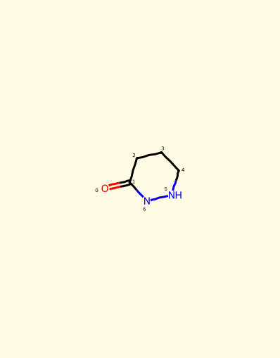 O=C1CCCN[N]1